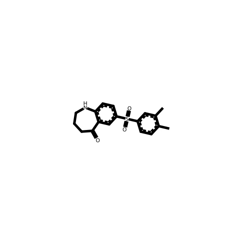 Cc1ccc(S(=O)(=O)c2ccc3c(c2)C(=O)CCCN3)cc1C